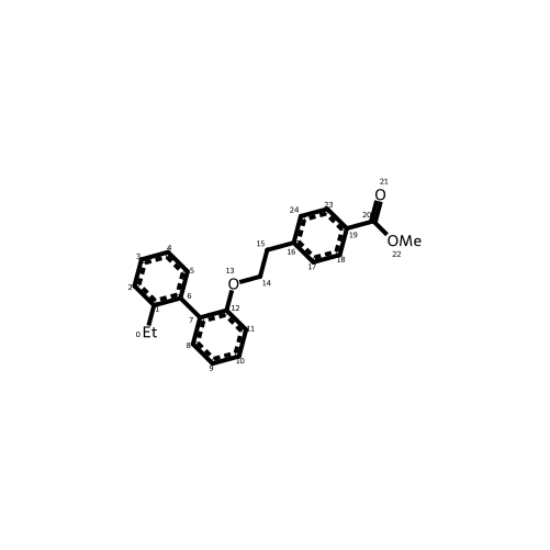 CCc1ccccc1-c1ccccc1OCCc1ccc(C(=O)OC)cc1